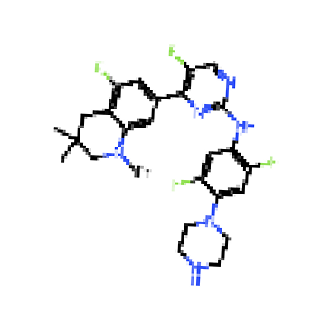 CC(C)N1CC(C)(C)Cc2c(F)cc(-c3nc(Nc4cc(F)c(N5CCNCC5)cc4F)ncc3F)cc21